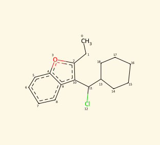 CCc1oc2ccccc2c1C(Cl)C1CCCCC1